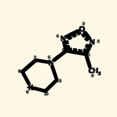 Cc1nonc1N1CC[N]CC1